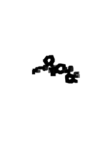 Cc1cccc(C(=O)N2CCc3c(nnn3-c3ccccc3OCCF)C2)c1Cl